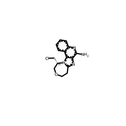 Nc1nc2ccccc2c2c1nc1n2[C@@H](CCl)COCC1